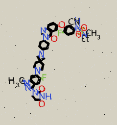 CCN(C)S(=O)(=O)Nc1ccc(F)c(Oc2ccc3ncn(C4CCC(N5CC6(CCN(c7cc8c(cc7F)c(N7CCC(=O)NC7=O)nn8C)CC6)C5)CC4)c(=O)c3c2)c1C#N